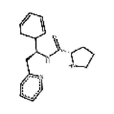 O=C(N[C@@H](Cc1ccccn1)C1C=CC=CC1)[C@@H]1CCCN1